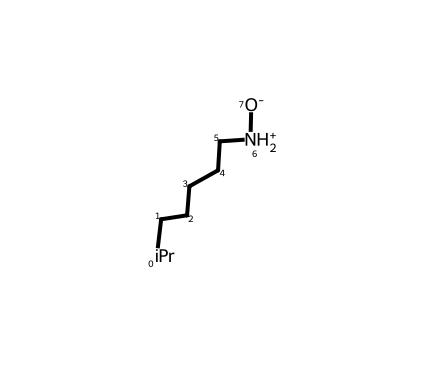 CC(C)CCCCC[NH2+][O-]